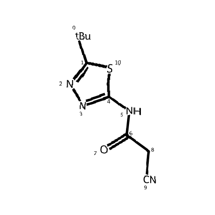 CC(C)(C)c1nnc(NC(=O)CC#N)s1